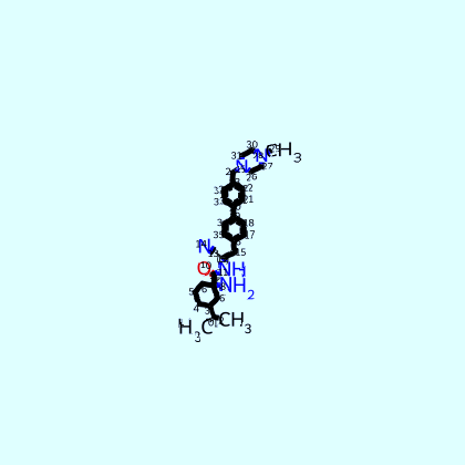 CC(C)C1CCCC(N)(C(=O)N[C@H](C#N)Cc2ccc(-c3ccc(CN4CCN(C)CC4)cc3)cc2)C1